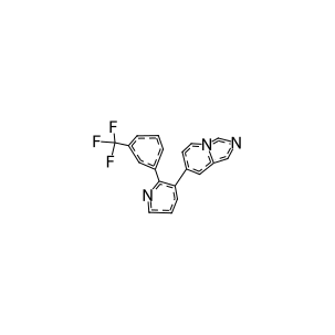 FC(F)(F)c1cccc(-c2ncccc2-c2ccn3cncc3c2)c1